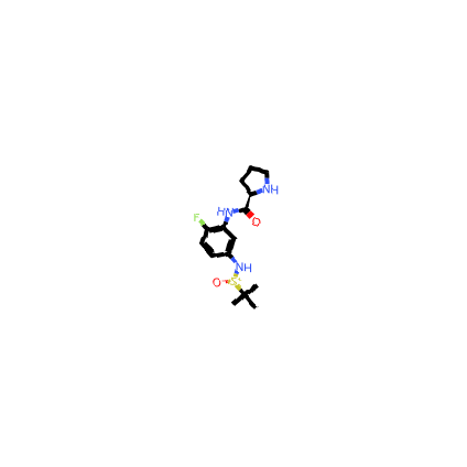 CC(C)(C)[S+]([O-])Nc1ccc(F)c(NC(=O)[C@H]2CCCN2)c1